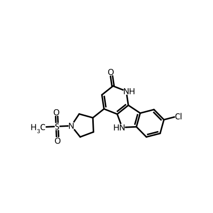 CS(=O)(=O)N1CCC(c2cc(=O)[nH]c3c2[nH]c2ccc(Cl)cc23)C1